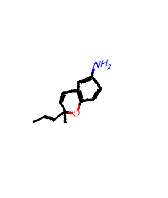 CCCC1(C)C=Cc2cc(N)ccc2O1